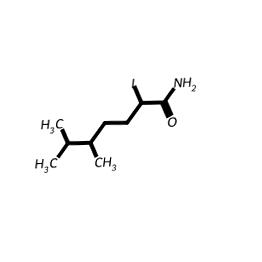 CC(C)C(C)CCC(I)C(N)=O